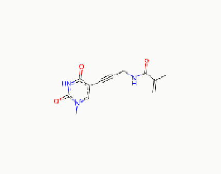 C=C(C)C(=O)NCC#Cc1cn(C)c(=O)[nH]c1=O